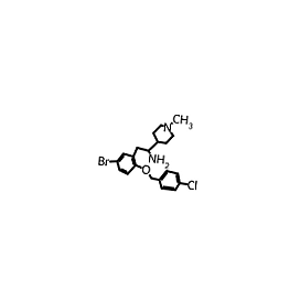 CN1CCC(C(N)Cc2cc(Br)ccc2OCc2ccc(Cl)cc2)CC1